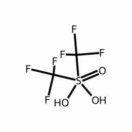 O=S(O)(O)(C(F)(F)F)C(F)(F)F